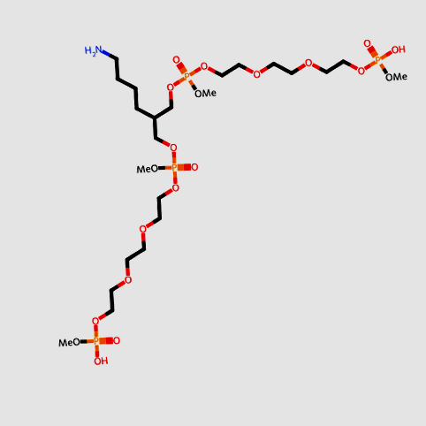 COP(=O)(O)OCCOCCOCCOP(=O)(OC)OCC(CCCCN)COP(=O)(OC)OCCOCCOCCOP(=O)(O)OC